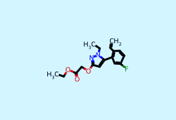 C=Cc1ccc(F)cc1-c1cc(OCC(=O)OCC)nn1CC